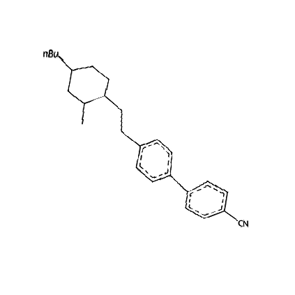 CCCCC1CCC(CCc2ccc(-c3ccc(C#N)cc3)cc2)C(C)C1